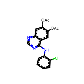 CC(=O)Oc1cc2ncnc(Nc3ccccc3Cl)c2cc1OC(C)=O